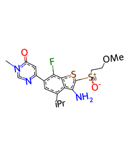 COCC[S@@+]([O-])c1sc2c(F)c(-c3cc(=O)n(C)cn3)cc(C(C)C)c2c1N